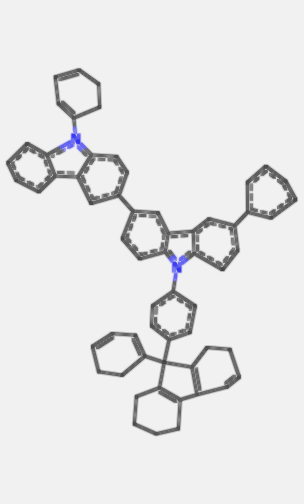 C1=CCCC(n2c3ccccc3c3cc(-c4ccc5c(c4)c4cc(-c6ccccc6)ccc4n5-c4ccc(C5(C6=CC=CCC6)C6=C(C=CCC6)C6=C5CCCC6)cc4)ccc32)=C1